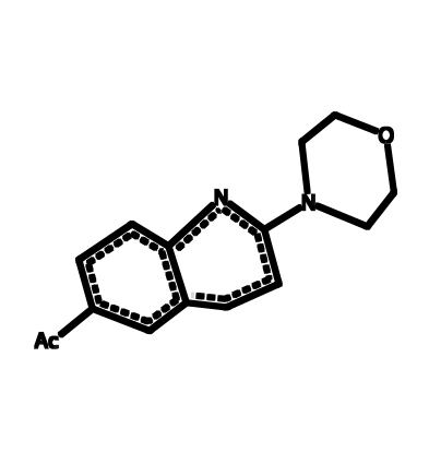 CC(=O)c1ccc2nc(N3CCOCC3)ccc2c1